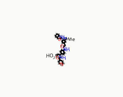 COc1cc(CC(=O)Nc2ccc(C(CC(=O)O)NC(=O)C3CCOCC3)cc2)ccc1NC(=O)Nc1ccccc1C